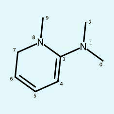 CN(C)C1=CC=CCN1C